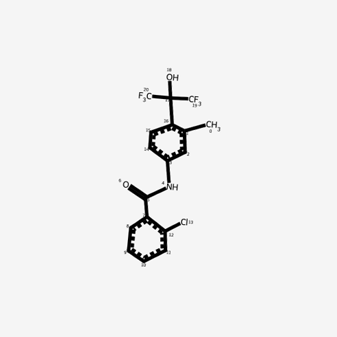 Cc1cc(NC(=O)c2ccccc2Cl)ccc1C(O)(C(F)(F)F)C(F)(F)F